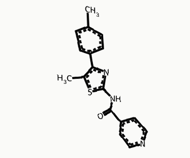 Cc1ccc(-c2nc(NC(=O)c3ccncc3)sc2C)cc1